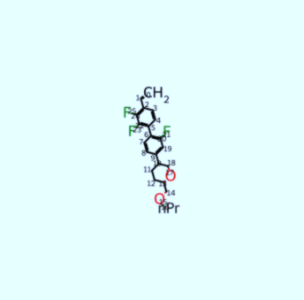 C=Cc1ccc(-c2ccc(C3CCC(COCCC)OC3)cc2F)c(F)c1F